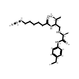 C[C@H](NCC(NC(=O)CCCCCN=[N+]=[N-])[C@H](C)C=O)C(=O)Nc1ccc(CI)cc1